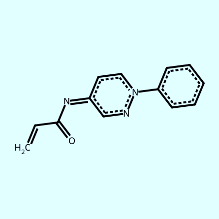 C=CC(=O)/N=c1/ccn(-c2ccccc2)nc1